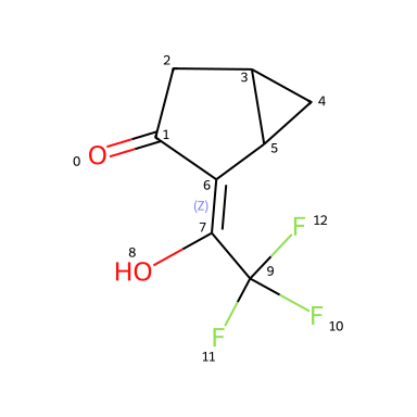 O=C1CC2CC2/C1=C(/O)C(F)(F)F